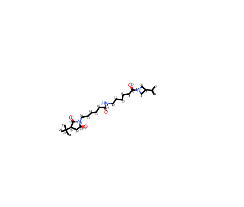 CC(C)C1CN(C(=O)CCCCCNC(=O)CCCCCN2C(=O)CC(C(C)(C)C)C2=O)C1